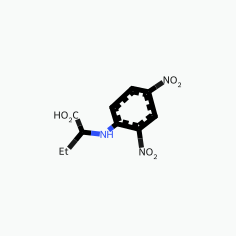 CCC(Nc1ccc([N+](=O)[O-])cc1[N+](=O)[O-])C(=O)O